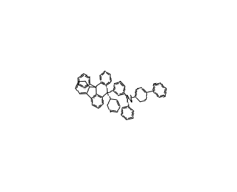 C1=CCC(C2(c3cccc(N(C4=CC=C(c5ccccc5)CC4)c4ccccc4)c3)c3ccccc3C3(c4ccccc4)c4c(cccc42)C2=CC=CCC23)C=C1